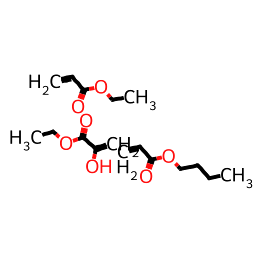 C=C(O)C(=O)OCC.C=CC(=O)OCC.C=CC(=O)OCCCC